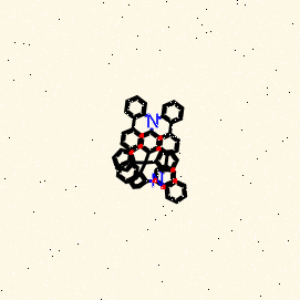 c1ccc(-c2ccc(-c3ccccc3N(c3ccc4c(c3)-c3ccccc3C43c4ccccc4-n4c5ccccc5c5cccc3c54)c3ccccc3-c3ccc(-c4ccccc4)cc3)cc2)cc1